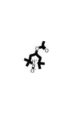 CC(=O)OC1CC(C)(C)[NH+]([O-])C(C)(C)C1